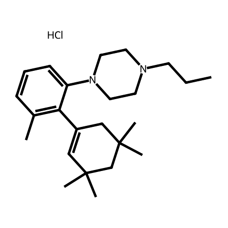 CCCN1CCN(c2cccc(C)c2C2=CC(C)(C)CC(C)(C)C2)CC1.Cl